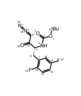 CC(C)(C)OC(=O)N[C@H](Cc1cc(F)ccc1F)C(=O)C=[N+]=[N-]